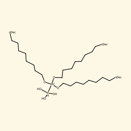 CCCCCCCCCCCCCCCCCCO[PH](OCCCCCCCCCCCCCCCCCC)(OCCCCCCCCCCCCCCCCCC)[PH](O)(O)O